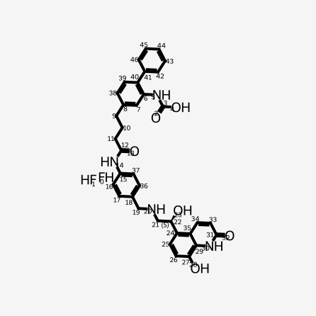 F.F.O=C(O)Nc1cc(CCCC(=O)Nc2ccc(CNC[C@@H](O)c3ccc(O)c4[nH]c(=O)ccc34)cc2)ccc1-c1ccccc1